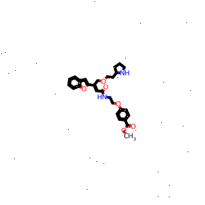 COC(=O)c1ccc(OCCNC(=O)C=C(COCCC2CCCN2)c2cc3ccccc3o2)cc1